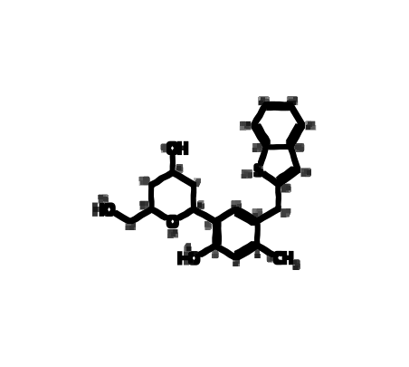 Cc1cc(O)c(C2CC(O)CC(CO)O2)cc1Cc1cc2ccccc2s1